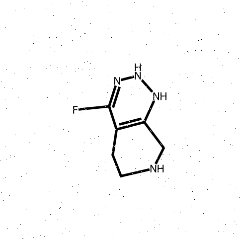 FC1=NNNC2=C1CCNC2